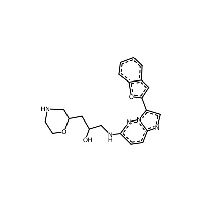 OC(CNc1ccc2ncc(-c3cc4ccccc4o3)n2n1)CC1CNCCO1